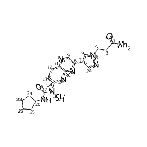 NC(=O)CCn1cc(-c2cnc3ccc(N(S)C(=O)NC4CCCC4)nc3n2)cn1